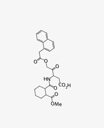 COC(=O)C1CCCCC1C(=O)NC(CC(=O)O)C(=O)COC(=O)Cc1cccc2ccccc12